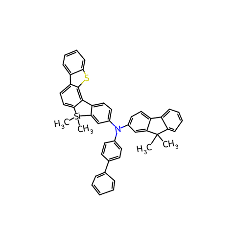 CC1(C)c2ccccc2-c2ccc(N(c3ccc(-c4ccccc4)cc3)c3ccc4c(c3)[Si](C)(C)c3ccc5c(sc6ccccc65)c3-4)cc21